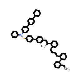 C=Cc1ccccc1-c1ccccc1/C=C/C=C\c1ccccc1/C(C)=C/c1ccc(-c2ccc(SN(c3ccccc3)c3ccc(-c4ccc(-c5ccccc5)cc4)cc3)cc2)cc1